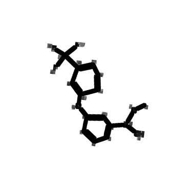 COB(O)c1cccc(Oc2cccc(C(F)(F)F)c2)c1